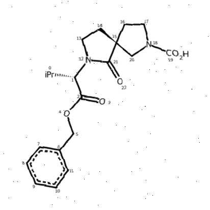 CC(C)[C@@H](C(=O)OCc1ccccc1)N1CC[C@]2(CCN(C(=O)O)C2)C1=O